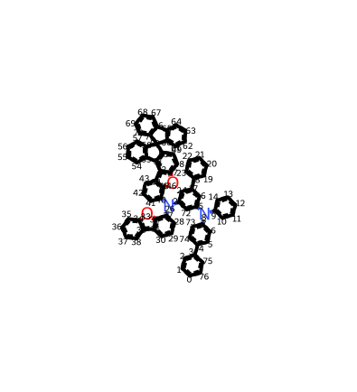 c1ccc(-c2ccc(N(c3ccccc3)c3cc(-c4ccccc4)cc(N(c4cccc5c4oc4ccccc45)c4cccc5c4oc4ccc6c(c45)-c4ccccc4C64c5ccccc5-c5ccccc54)c3)cc2)cc1